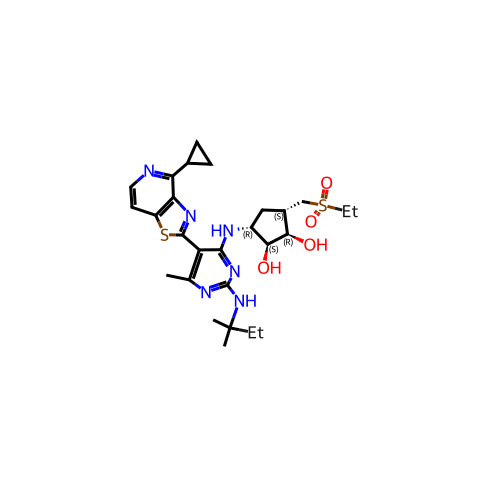 CCC(C)(C)Nc1nc(C)c(-c2nc3c(C4CC4)nccc3s2)c(N[C@@H]2C[C@H](CS(=O)(=O)CC)[C@@H](O)[C@H]2O)n1